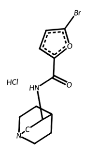 Cl.O=C(NC1CN2CCC1CC2)c1ccc(Br)o1